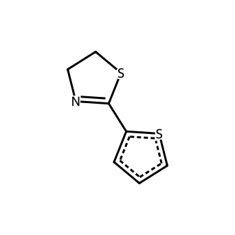 c1csc(C2=NCCS2)c1